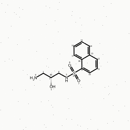 NC[C@@H](O)CNS(=O)(=O)c1cccc2ccccc12